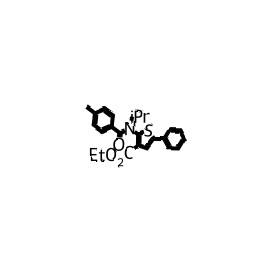 CCOC(=O)c1cc(-c2ccccc2)sc1N(C(=O)c1ccc(C)cc1)C(C)C